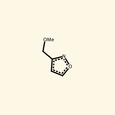 COCc1c[c]on1